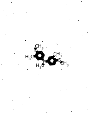 CSc1ccc(P(C)c2ccc(SC)c(C)c2)cc1C